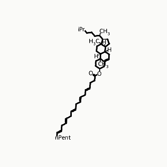 CCCCCC=CCC=CCC=CCC=CCC=CCCC(=O)O[C@H]1CC[C@@]2(C)C(=CC[C@H]3[C@@H]4CC[C@H]([C@H](C)CCCC(C)C)[C@@]4(C)CC[C@@H]32)C1